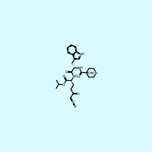 CC(C)OC(=O)[C@H](CCC(=O)C=[N+]=[N-])NC(=O)[C@H](Cc1c[nH]c2ccccc12)NC(=O)C12CCN(CC1)CC2